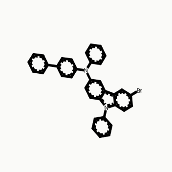 Brc1ccc2c(c1)c1cc(N(c3ccccc3)c3ccc(-c4ccccc4)cc3)ccc1n2-c1ccccc1